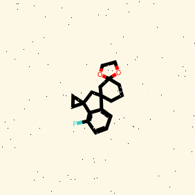 Fc1cccc2c1C1(CC1)CC21CCCC2(C1)OCCO2